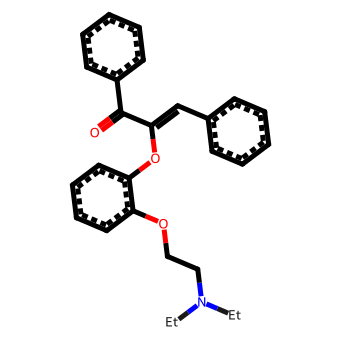 CCN(CC)CCOc1ccccc1OC(=Cc1ccccc1)C(=O)c1ccccc1